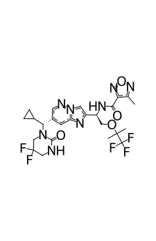 Cc1nonc1C(=O)N[C@@H](COC(C)(C)C(F)(F)F)c1cn2ncc([C@@H](C3CC3)N3CC(F)(F)CNC3=O)cc2n1